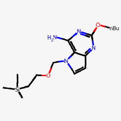 CCCCOc1nc(N)c2c([c]cn2COCC[Si](C)(C)C)n1